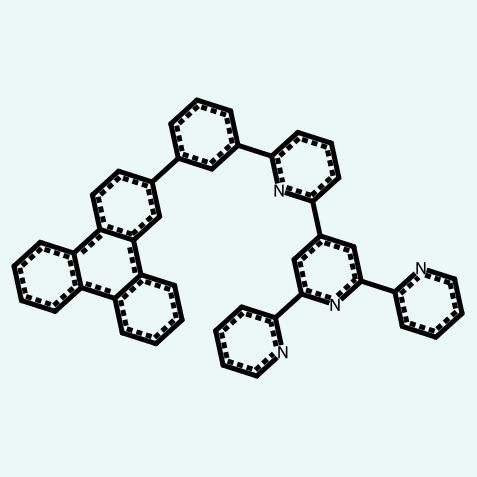 c1ccc(-c2cc(-c3cccc(-c4cccc(-c5ccc6c7ccccc7c7ccccc7c6c5)c4)n3)cc(-c3ccccn3)n2)nc1